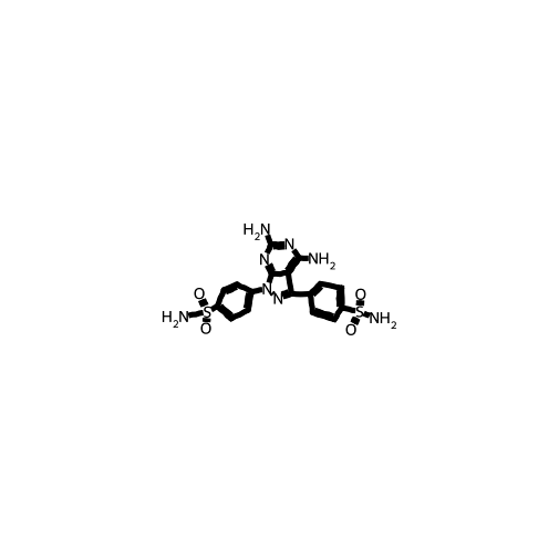 Nc1nc(N)c2c(-c3ccc(S(N)(=O)=O)cc3)nn(-c3ccc(S(N)(=O)=O)cc3)c2n1